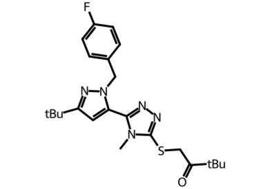 Cn1c(SCC(=O)C(C)(C)C)nnc1-c1cc(C(C)(C)C)nn1Cc1ccc(F)cc1